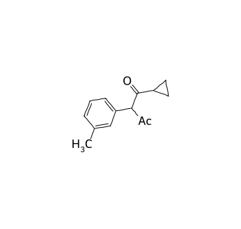 CC(=O)C(C(=O)C1CC1)c1cccc(C)c1